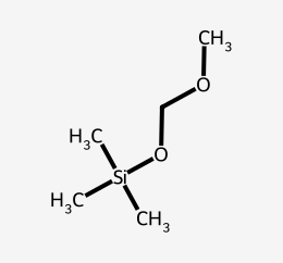 COCO[Si](C)(C)C